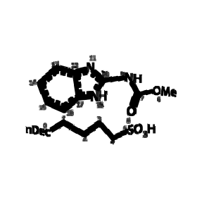 CCCCCCCCCCCCCCS(=O)(=O)O.COC(=O)Nc1nc2ccccc2[nH]1